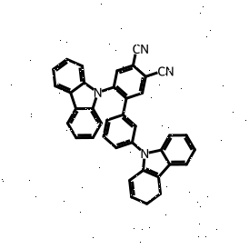 N#Cc1cc(-c2cccc(-n3c4c(c5ccccc53)CCC=C4)c2)c(-n2c3ccccc3c3ccccc32)cc1C#N